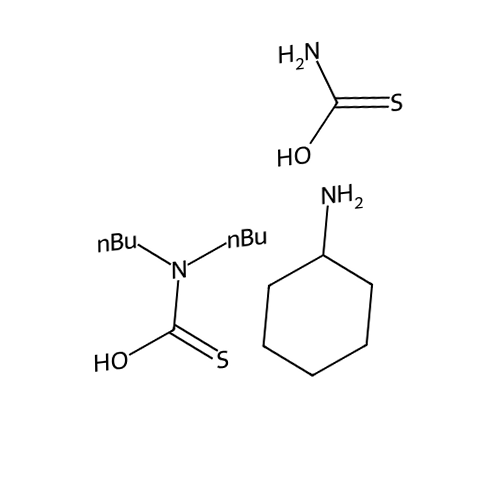 CCCCN(CCCC)C(O)=S.NC(O)=S.NC1CCCCC1